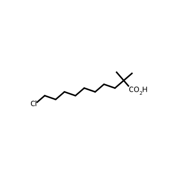 CC(C)(CCCCCCCCCl)C(=O)O